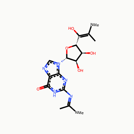 CNC(C)=Nc1nc2c(ncn2[C@@H]2O[C@H](C(O)=C(C)NC)[C@@H](O)[C@H]2O)c(=O)[nH]1